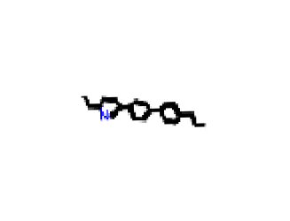 CCCc1ccc(-c2ccc(-c3ccc(CC)nc3)cc2)cc1